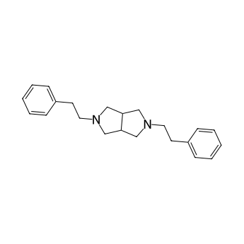 c1ccc(CCN2CC3CN(CCc4ccccc4)CC3C2)cc1